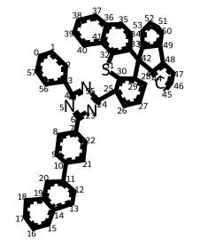 c1ccc(-c2nc(-c3ccc(-c4ccc5ccccc5c4)cc3)nc(-c3cccc4c3Sc3c(ccc5ccccc35)C43c4ccccc4-c4ccccc43)n2)cc1